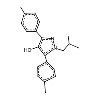 Cc1ccc(-c2nn(CC(C)C)c(-c3ccc(C)cc3)c2O)cc1